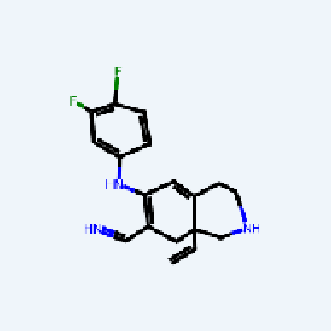 C=CC12CNCCC1=CC(Nc1ccc(F)c(F)c1)=C(C=N)C2